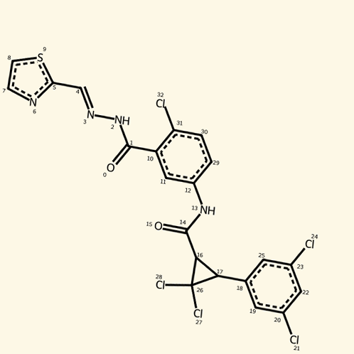 O=C(NN=Cc1nccs1)c1cc(NC(=O)C2C(c3cc(Cl)cc(Cl)c3)C2(Cl)Cl)ccc1Cl